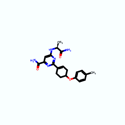 Cc1ccc(OC2CC=C(c3nc(N[C@@H](C)C(N)=O)cc(C(N)=O)n3)CC2)cc1